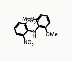 COc1cccc(OC)c1Nc1c(C(=O)O)cccc1[N+](=O)[O-]